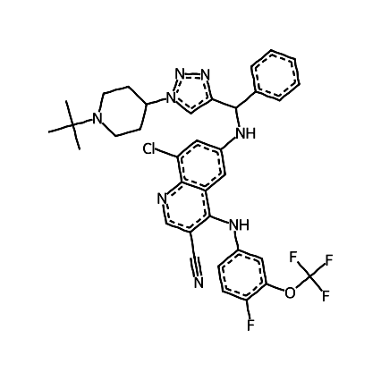 CC(C)(C)N1CCC(n2cc(C(Nc3cc(Cl)c4ncc(C#N)c(Nc5ccc(F)c(OC(F)(F)F)c5)c4c3)c3ccccc3)nn2)CC1